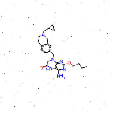 CCCCOc1nc(N)c2c(n1)N(Cc1ccc3c(c1)CN(CC1CC1)CC3)CC(=O)N2